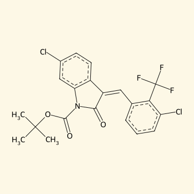 CC(C)(C)OC(=O)N1C(=O)C(=Cc2cccc(Cl)c2C(F)(F)F)c2ccc(Cl)cc21